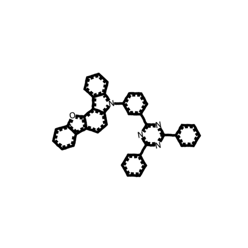 c1ccc(-c2nc(-c3ccccc3)nc(-c3cccc(-n4c5ccccc5c5c6oc7ccccc7c6ccc54)c3)n2)cc1